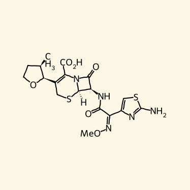 CO/N=C(\C(=O)N[C@@H]1C(=O)N2C(C(=O)O)=C([C@H]3OCC[C@H]3C)CS[C@H]12)c1csc(N)n1